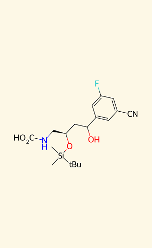 CC(C)(C)[Si](C)(C)O[C@@H](CNC(=O)O)CC(O)c1cc(F)cc(C#N)c1